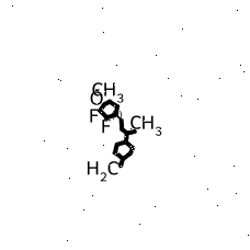 C=CC1CCC(C(CC)CC[C@@H]2CCC(OC)C(F)C2F)CC1